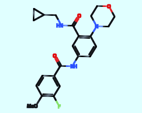 COc1ccc(C(=O)Nc2ccc(N3CCOCC3)c(C(=O)NCC3CC3)c2)cc1F